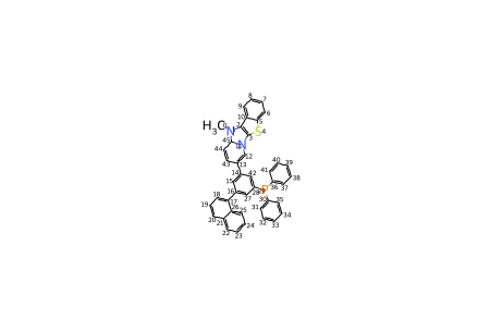 CN1c2c(sc3ccccc23)N2C=C(c3cc(-c4cccc5ccccc45)cc(P(c4ccccc4)c4ccccc4)c3)C=CC12